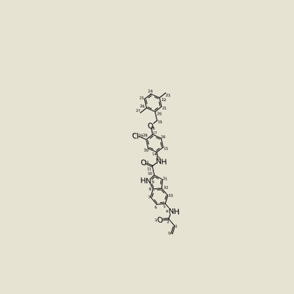 C=CC(=O)Nc1ccc2[nH]c(C(=O)Nc3ccc(OCc4cc(C)ccc4C)c(Cl)c3)cc2c1